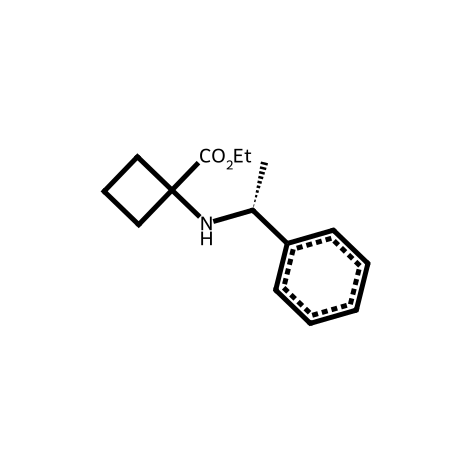 CCOC(=O)C1(N[C@H](C)c2ccccc2)CCC1